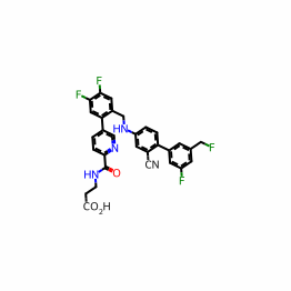 N#Cc1cc(NCc2cc(F)c(F)cc2-c2ccc(C(=O)NCCC(=O)O)nc2)ccc1-c1cc(F)cc(CF)c1